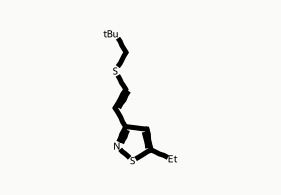 CCc1cc(C=CSCC(C)(C)C)ns1